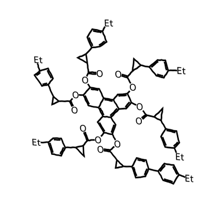 CCc1ccc(-c2ccc(C3CC3C(=O)Oc3cc4c5cc(OC(=O)C6CC6c6ccc(CC)cc6)c(OC(=O)C6CC6c6ccc(CC)cc6)cc5c5cc(OC(=O)C6CC6c6ccc(CC)cc6)c(OC(=O)C6CC6c6ccc(CC)cc6)cc5c4cc3OC(=O)C3CC3c3ccc(CC)cc3)cc2)cc1